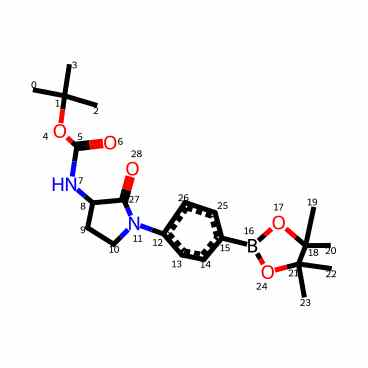 CC(C)(C)OC(=O)NC1CCN(c2ccc(B3OC(C)(C)C(C)(C)O3)cc2)C1=O